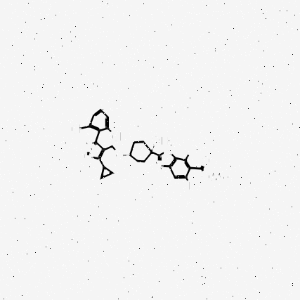 COC(=O)c1c(F)cc2nc([C@]3(O)CC[C@@H](OCc4c(-c5c(Cl)cccc5Cl)noc4C4CC4)CC3)sc2c1F